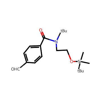 CC(C)(C)N(CCO[Si](C)(C)C(C)(C)C)C(=O)c1ccc(C=O)cc1